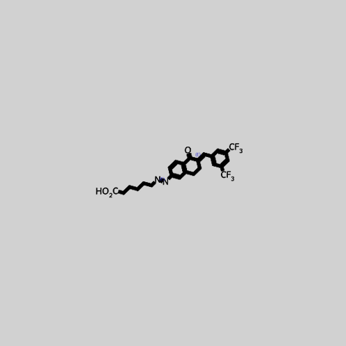 O=C(O)CCCCC/N=N/c1ccc2c(c1)CC/C(=C\c1cc(C(F)(F)F)cc(C(F)(F)F)c1)C2=O